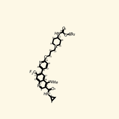 CNc1c(C(=O)NC2CC2)cnc2cc(C(F)(F)F)c(-c3ccc(OCCCN4CCC(NC(=O)OC(C)(C)C)CC4)nc3)cc12